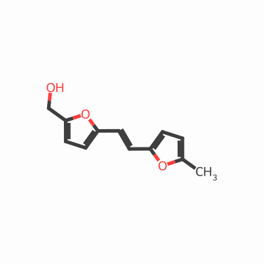 Cc1ccc(C=Cc2ccc(CO)o2)o1